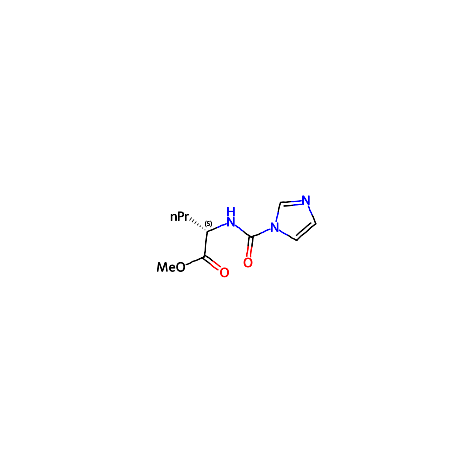 CCC[C@H](NC(=O)n1ccnc1)C(=O)OC